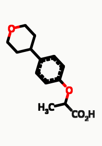 CC(Oc1ccc(C2CCOCC2)cc1)C(=O)O